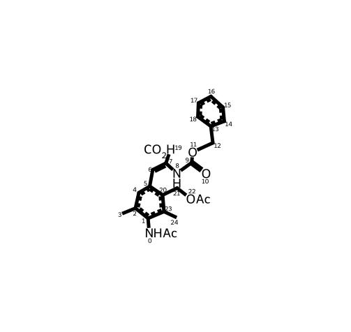 CC(=O)Nc1c(C)cc(C=C(NC(=O)OCc2ccccc2)C(=O)O)c(COC(C)=O)c1C